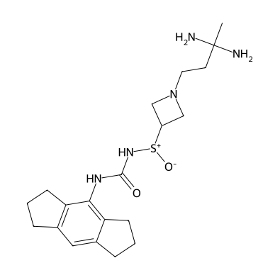 CC(N)(N)CCN1CC([S+]([O-])NC(=O)Nc2c3c(cc4c2CCC4)CCC3)C1